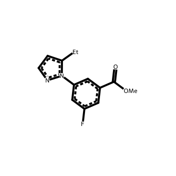 CCc1ccnn1-c1cc(F)cc(C(=O)OC)c1